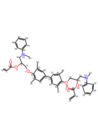 C=CC(=O)OC(COc1c(C)cc(-c2cc(C)c(OCC(CN(C)c3ccccc3)OC(=O)C=C)c(C)c2)cc1C)CN(C)c1ccccc1